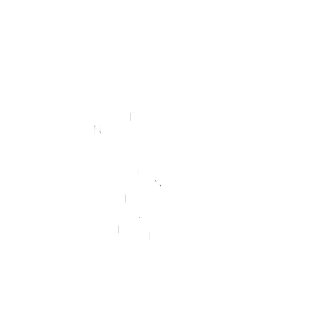 N#Cc1c(C(F)(F)F)cc(-c2ccccc2)n(CC(F)(F)F)c1=O